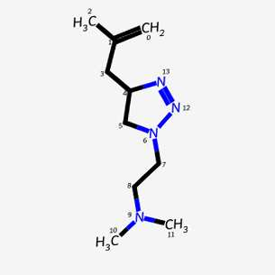 C=C(C)CC1CN(CCN(C)C)N=N1